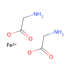 NCC(=O)[O-].NCC(=O)[O-].[Fe+2]